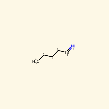 CCC[CH2][Ta]=[NH]